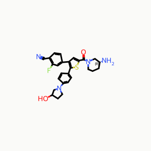 N#Cc1ccc(-c2cc(C(=O)N3CCC[C@@H](N)C3)sc2-c2ccc(N3CCC(O)C3)cc2)cc1F